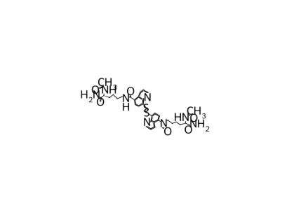 CC(=O)N[C@@H](CCCCNC(=O)c1ccc(SSc2ccc(N(C=O)CCCC[C@@H](NC(C)=O)C(N)=O)c3cccnc23)c2ncccc12)C(N)=O